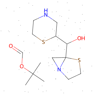 CC(C)(C)OC=O.OC(C1CNCCS1)C12CN1CCS2